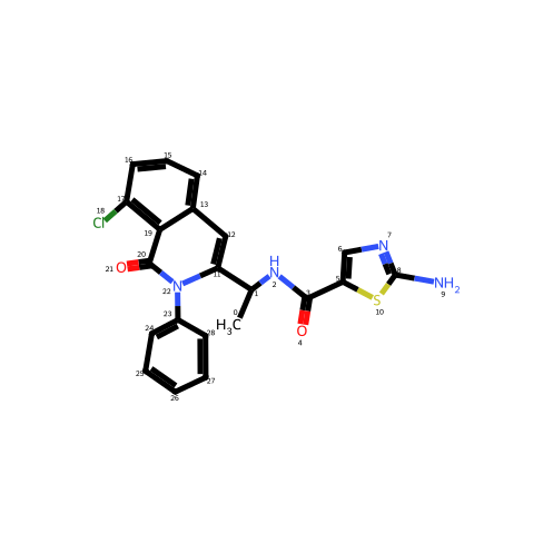 CC(NC(=O)c1cnc(N)s1)c1cc2cccc(Cl)c2c(=O)n1-c1ccccc1